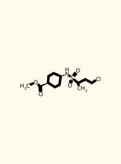 COC(=O)[C@H]1CC[C@H](NS(=O)(=O)C(C)CCCl)CC1